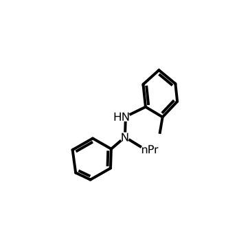 CCCN(Nc1ccccc1C)c1ccccc1